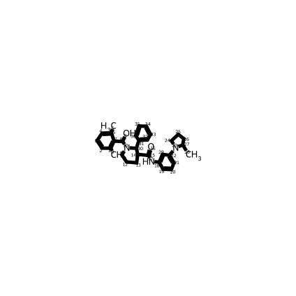 Cc1cccc(C)c1C(O)N1CCCC(C(=O)Nc2cccc(N3CCCC3C)c2)C1c1ccccc1